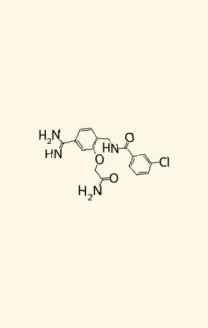 N=C(N)c1ccc(CNC(=O)c2cccc(Cl)c2)c(OCC(N)=O)c1